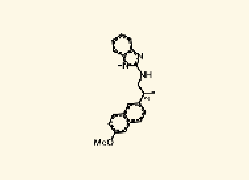 COc1ccc2cc([C@H](C)CNc3nc4ccccc4[nH]3)ccc2c1